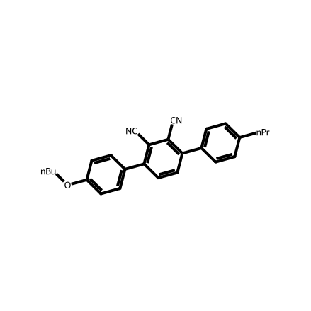 CCCCOc1ccc(-c2ccc(-c3ccc(CCC)cc3)c(C#N)c2C#N)cc1